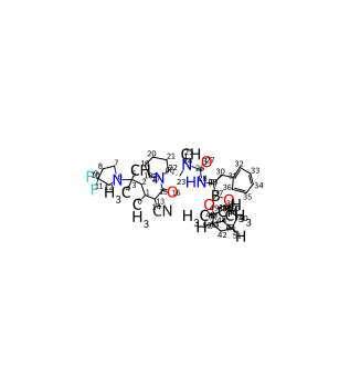 CC(CC(C)(C)N1CCC(F)(F)C1)C(C#N)C(=O)N1CCCC[C@@H]1CN(C)C(=O)N[C@@H](Cc1ccccc1)B1O[C@@H]2C[C@@H]3C[C@@H](C3(C)C)[C@]2(C)O1